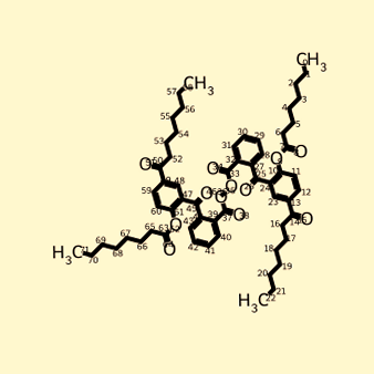 CCCCCCCC(=O)Oc1ccc(C(=O)CCCCCCC)cc1C(=O)c1ccccc1C(=O)OOC(=O)c1ccccc1C(=O)c1cc(C(=O)CCCCCCC)ccc1OC(=O)CCCCCCC